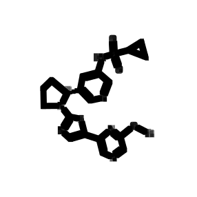 CCOc1cncc(-c2cnc(N3CCC[C@@H]3c3cncc(NS(=O)(=O)C4CC4)c3)s2)n1